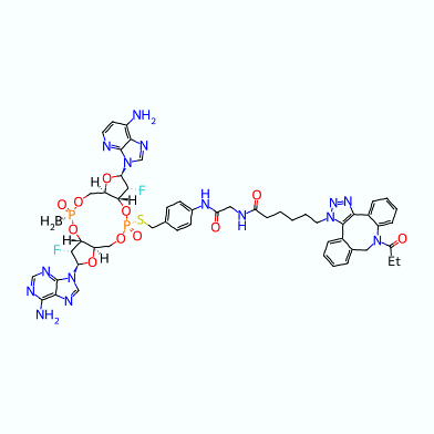 B[P@]1(=O)OC[C@H]2O[C@@H](n3cnc4c(N)ccnc43)[C@H](F)[C@@H]2O[P@](=O)(SCc2ccc(NC(=O)CNC(=O)CCCCCn3nnc4c3-c3ccccc3CN(C(=O)CC)c3ccccc3-4)cc2)OC[C@H]2O[C@@H](n3cnc4c(N)ncnc43)[C@H](F)[C@@H]2O1